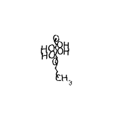 CCCCCOC[C@@H](O)[C@@H](O)[C@H](O)[C@@H](O)C=O